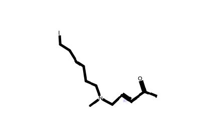 CC(=O)/C=C/CN(C)CCCCCCI